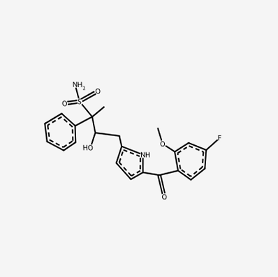 COc1cc(F)ccc1C(=O)c1ccc(CC(O)C(C)(c2ccccc2)S(N)(=O)=O)[nH]1